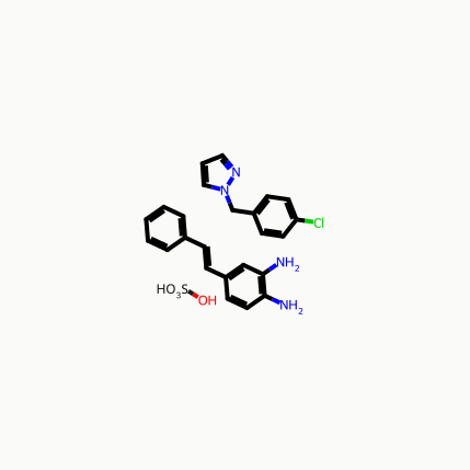 Clc1ccc(Cn2cccn2)cc1.Nc1ccc(C=Cc2ccccc2)cc1N.O=S(=O)(O)O